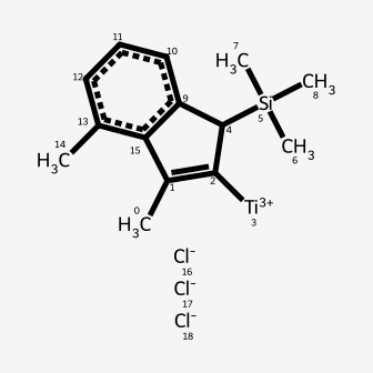 CC1=[C]([Ti+3])C([Si](C)(C)C)c2cccc(C)c21.[Cl-].[Cl-].[Cl-]